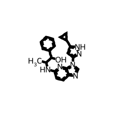 CC(Nc1ccc2ncn(-c3cc(C4CC4)[nH]n3)c2n1)C(O)c1ccccc1